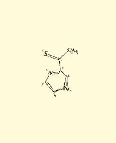 OC(=S)c1cnccn1